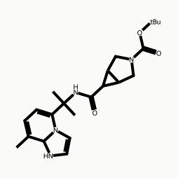 CC1=CC=C(C(C)(C)NC(=O)C2C3CN(C(=O)OC(C)(C)C)CC32)N2C=CNC12